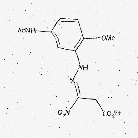 CCOC(=O)CC(=NNc1cc(NC(C)=O)ccc1OC)[N+](=O)[O-]